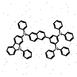 c1ccc(N(c2ccccc2)c2cc(-c3ccc4cc(N(c5ccccc5)c5ccc6c7ccccc7n(-c7ccccc7)c6c5)ccc4c3)cc(N(c3ccccc3)c3ccccc3)c2)cc1